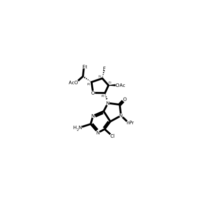 CCCn1c(=O)n([C@@H]2O[C@H](C(CC)OC(C)=O)[C@H](F)[C@H]2OC(C)=O)c2nc(N)nc(Cl)c21